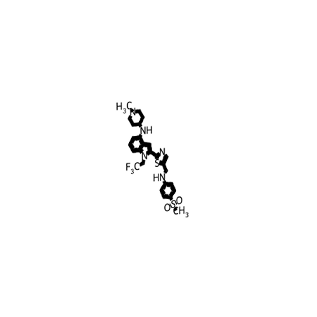 CN1CCC(Nc2cccc3c2cc(-c2ncc(CNc4ccc(S(C)(=O)=O)cc4)s2)n3CC(F)(F)F)CC1